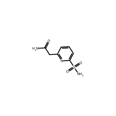 NC(=O)[CH]c1cccc(S(N)(=O)=O)n1